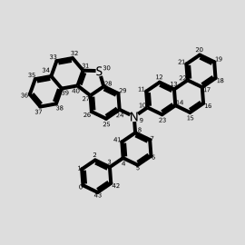 c1ccc(-c2cccc(N(c3ccc4c(ccc5ccccc54)c3)c3ccc4c(c3)sc3ccc5ccccc5c34)c2)cc1